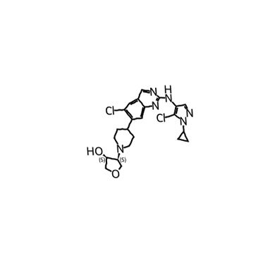 O[C@@H]1COC[C@@H]1N1CCC(c2cc3nc(Nc4cnn(C5CC5)c4Cl)ncc3cc2Cl)CC1